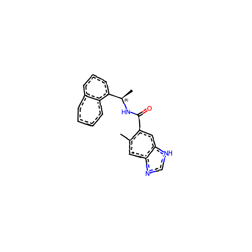 Cc1cc2nc[nH]c2cc1C(=O)N[C@H](C)c1cccc2ccccc12